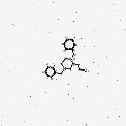 O=CCC1CN(Cc2ccccc2)CCN1Cc1ccccc1